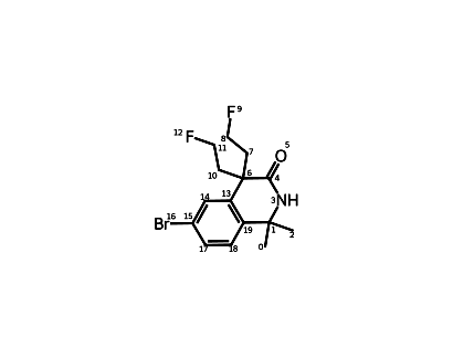 CC1(C)NC(=O)C(CCF)(CCF)c2cc(Br)ccc21